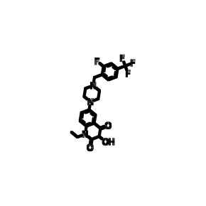 CCN1C(=O)C(O)C(=O)c2cc(N3CCN(Cc4ccc(C(F)(F)F)cc4F)CC3)ccc21